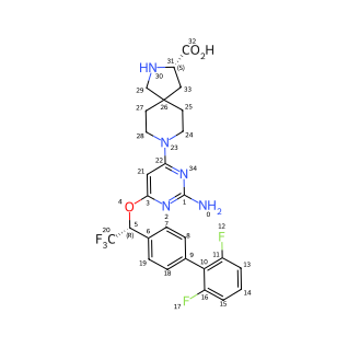 Nc1nc(O[C@H](c2ccc(-c3c(F)cccc3F)cc2)C(F)(F)F)cc(N2CCC3(CC2)CN[C@H](C(=O)O)C3)n1